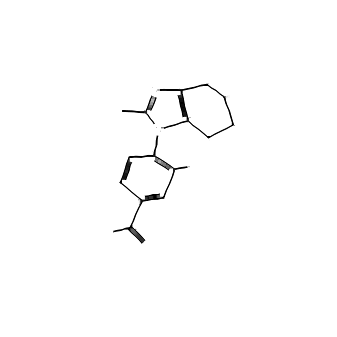 Cc1nc2c(n1-c1ccc(C(=O)O)cc1Cl)CCCC2